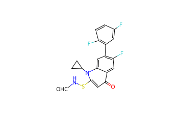 O=CNSc1cc(=O)c2cc(F)c(-c3cc(F)ccc3F)cc2n1C1CC1